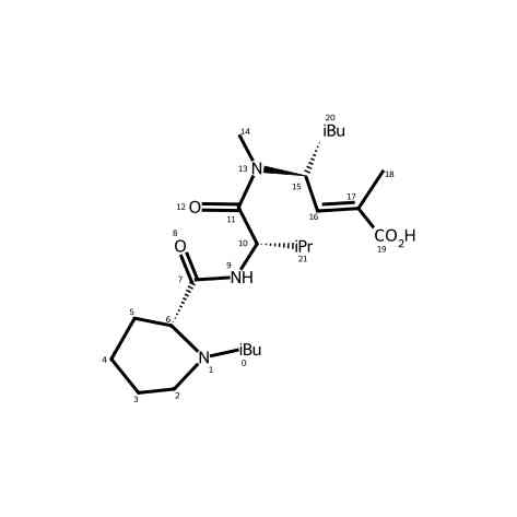 CCC(C)N1CCCC[C@@H]1C(=O)N[C@H](C(=O)N(C)[C@H](/C=C(\C)C(=O)O)[C@@H](C)CC)C(C)C